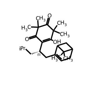 CC(C)C[C@@H](CC1=CCC2CC1C2(C)C)C1=C(O)C(C)(C)C(=O)C(C)(C)C1=O